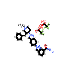 CN1CC[C@@H](NCc2ccc(-n3cc4cccc(C(N)=O)c4n3)cc2)[C@@H](Cc2ccccc2)C1.O=C(O)C(F)(F)F.O=C(O)C(F)(F)F